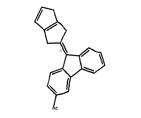 CC(=O)c1ccc2c(c1)-c1ccccc1/C2=C1/CC2=C(CC=C2)C1